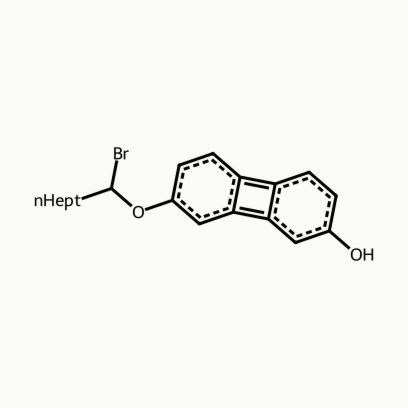 CCCCCCCC(Br)Oc1ccc2c(c1)=c1cc(O)ccc1=2